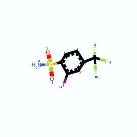 NS(=O)(=O)c1ccc(C(F)(F)F)cc1I